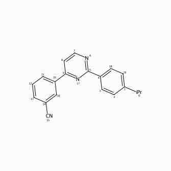 CC(C)c1ccc(-c2nccc(-c3cccc(C#N)c3)n2)cc1